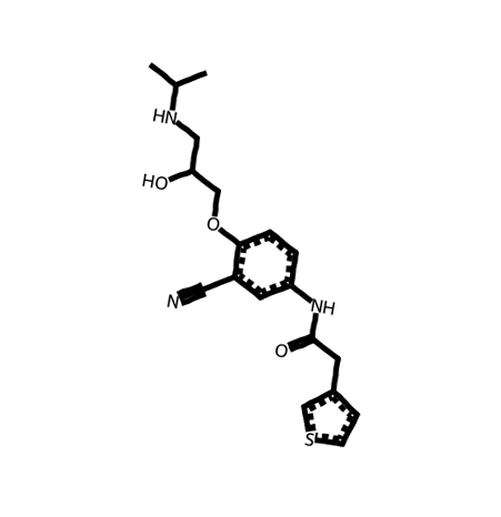 CC(C)NCC(O)COc1ccc(NC(=O)Cc2ccsc2)cc1C#N